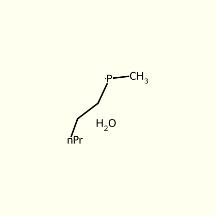 CCCCC[P]C.O